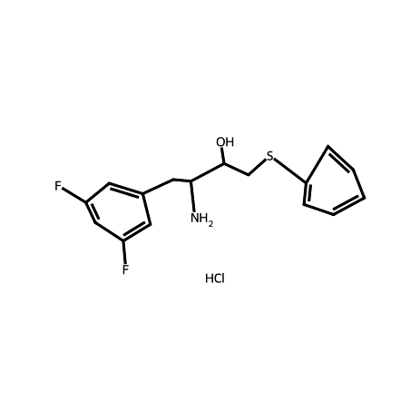 Cl.NC(Cc1cc(F)cc(F)c1)C(O)CSc1ccccc1